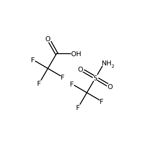 NS(=O)(=O)C(F)(F)F.O=C(O)C(F)(F)F